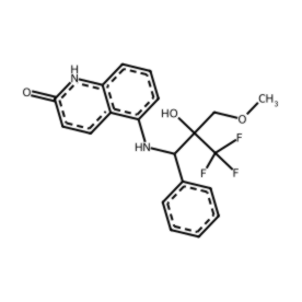 COCC(O)(C(Nc1cccc2[nH]c(=O)ccc12)c1ccccc1)C(F)(F)F